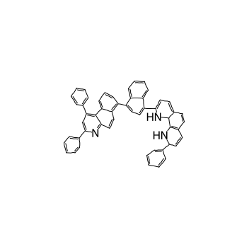 C1=CC2=C(NC(c3ccccc3)C=C2)C2NC(c3ccc(-c4cccc5c4ccc4nc(-c6ccccc6)cc(-c6ccccc6)c45)c4ccccc34)=CC=C12